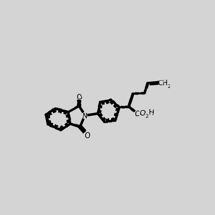 C=CCCC(C(=O)O)c1ccc(N2C(=O)c3ccccc3C2=O)cc1